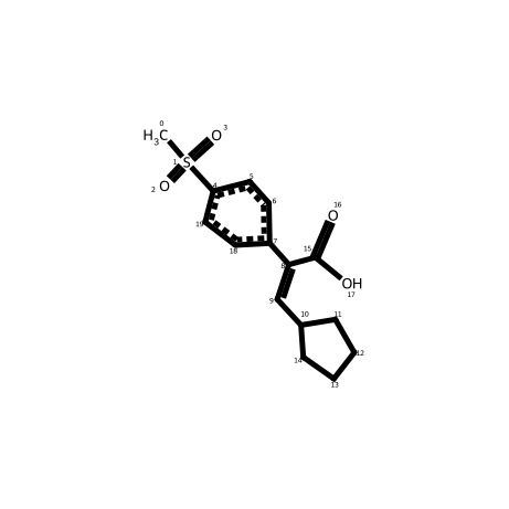 CS(=O)(=O)c1ccc(C(=CC2CCCC2)C(=O)O)cc1